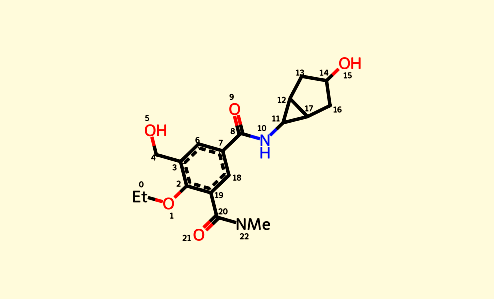 CCOc1c(CO)cc(C(=O)NC2C3CC(O)CC32)cc1C(=O)NC